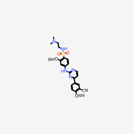 COc1ccc(-c2ccnc(Nc3ccc(S(=O)(=O)NCCN(C)C)c(OC)c3)n2)cc1C#N